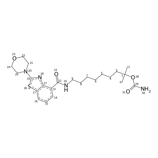 CC(C)(CCCCCCCNC(=O)c1cccc2sc(N3CCOCC3)nc12)OC(N)=O